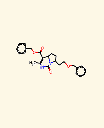 CC1=C(C(=O)OCc2ccccc2)C2CCC(CCOCc3ccccc3)N2C(=O)N1